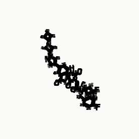 O=C1C[C@]2(NC(=O)N(CC(=O)N(Cc3ccc(F)cc3)C3(C(F)(F)F)CC(F)(F)C3)C2=O)c2ccc(-c3cnn(C4CN(C5CCC5)C4)c3)cc21